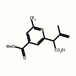 C=C(C)C(C(=O)OCC)c1cc(C(=O)OC)cc(C(F)(F)F)n1